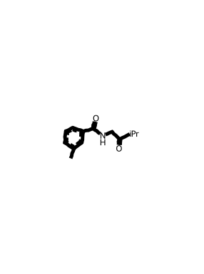 Cc1cccc(C(=O)NCC(=O)C(C)C)c1